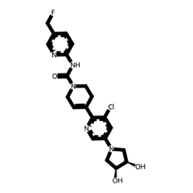 O=C(Nc1ccc(CF)cn1)N1CC=C(c2ncc(N3C[C@@H](O)[C@@H](O)C3)cc2Cl)CC1